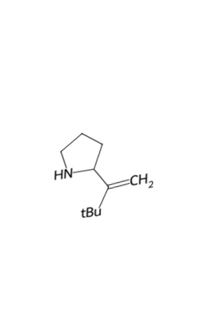 C=C(C1CCCN1)C(C)(C)C